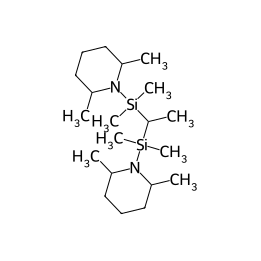 CC1CCCC(C)N1[Si](C)(C)C(C)[Si](C)(C)N1C(C)CCCC1C